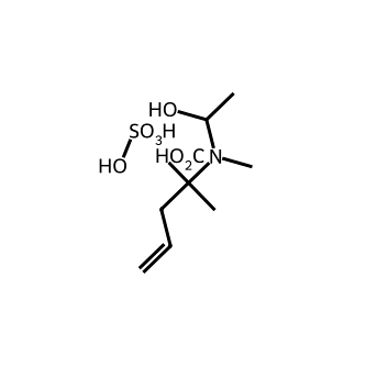 C=CCC(C)(C(=O)O)N(C)C(C)O.O=S(=O)(O)O